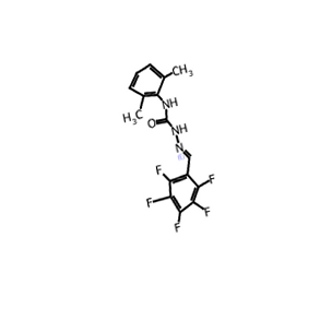 Cc1cccc(C)c1NC(=O)N/N=C/c1c(F)c(F)c(F)c(F)c1F